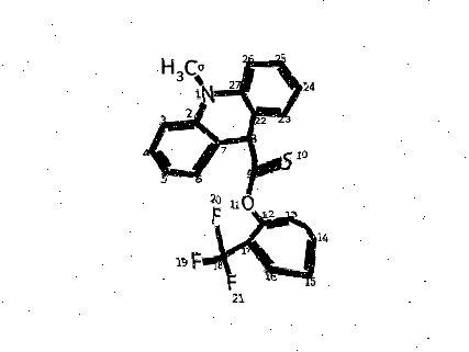 CN1c2ccccc2C(C(=S)Oc2ccccc2C(F)(F)F)c2ccccc21